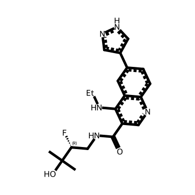 CCNc1c(C(=O)NC[C@@H](F)C(C)(C)O)cnc2ccc(-c3cn[nH]c3)cc12